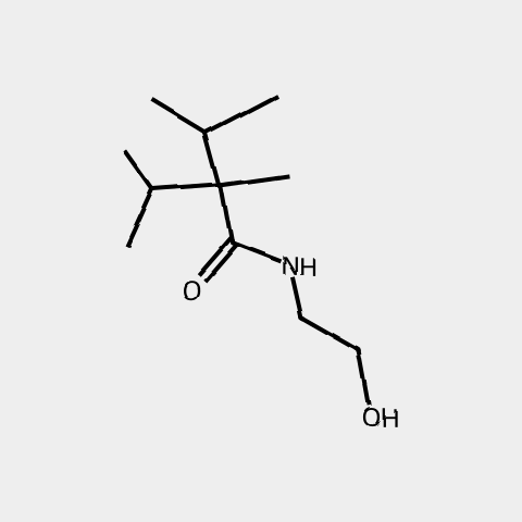 CC(C)C(C)(C(=O)NCCO)C(C)C